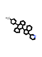 CC1C=CC(c2c3ccccc3c(-c3ccc(-c4cccnc4)c4ccccc34)c3ccccc23)=CC1